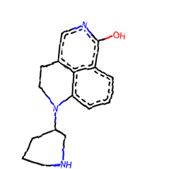 Oc1ncc2c3c(cccc13)N(C1CCCNC1)CC2